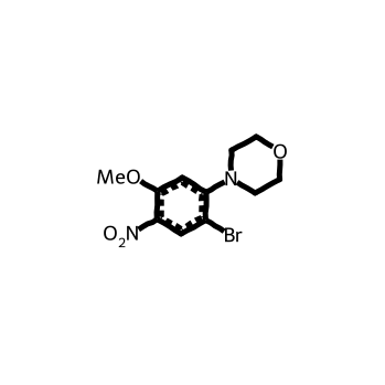 COc1cc(N2CCOCC2)c(Br)cc1[N+](=O)[O-]